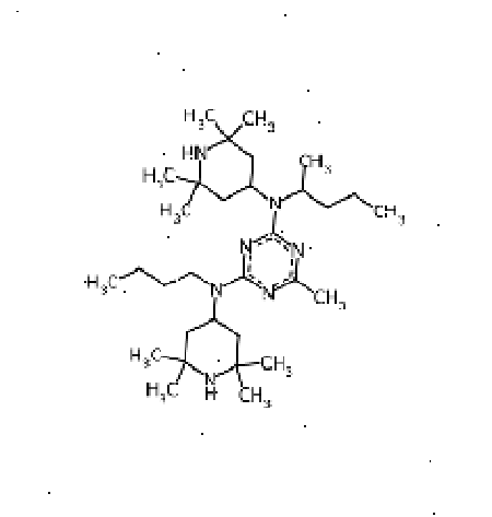 CCCCN(c1nc(C)nc(N(C(C)CCC)C2CC(C)(C)NC(C)(C)C2)n1)C1CC(C)(C)NC(C)(C)C1